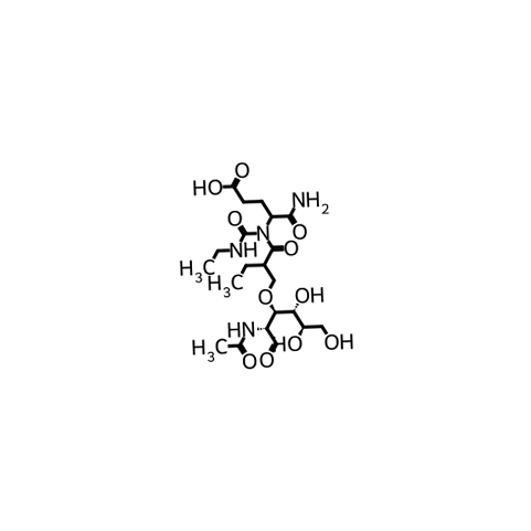 CCNC(=O)N(C(=O)C(CC)CO[C@@H]([C@H](O)[C@H](O)CO)[C@H](C=O)NC(C)=O)C(CCC(=O)O)C(N)=O